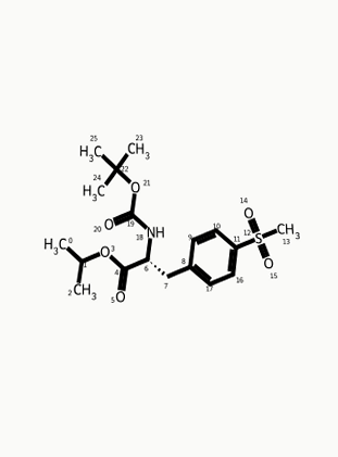 CC(C)OC(=O)[C@@H](Cc1ccc(S(C)(=O)=O)cc1)NC(=O)OC(C)(C)C